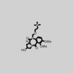 COc1ccc2c(c1OC)C(=O)N1CC(O)C[C@H]1C(=O)N2COCC[Si](C)(C)C